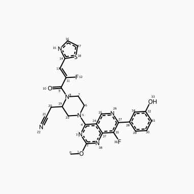 COc1nc(N2CCN(C(=O)/C(F)=C/c3nccs3)C(CC#N)C2)c2cnc(-c3cccc(O)c3)c(F)c2n1